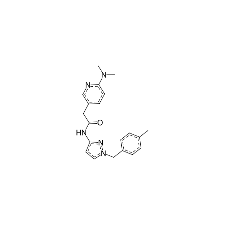 Cc1ccc(Cn2ccc(NC(=O)Cc3ccc(N(C)C)nc3)n2)cc1